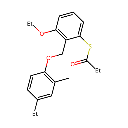 CCOc1cccc(SC(=O)CC)c1COc1ccc(CC)cc1C